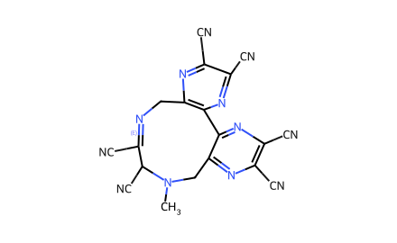 CN1Cc2nc(C#N)c(C#N)nc2-c2nc(C#N)c(C#N)nc2C/N=C(/C#N)C1C#N